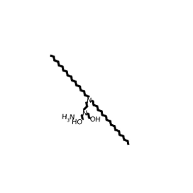 CCCCCCCCCCCCCCCCCCN(CCCCCCCCCCCCCCCCCC)CCCN(CCO)CCO.N